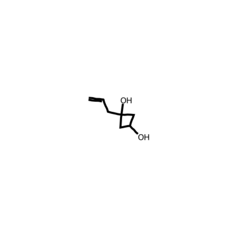 C=CCC1(O)CC(O)C1